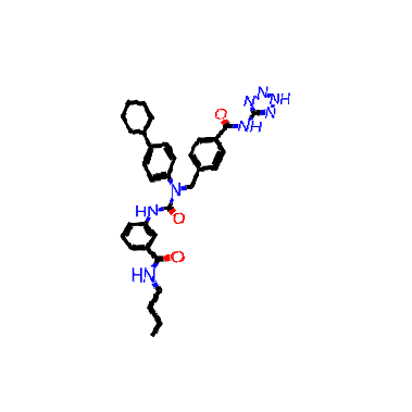 CCCCNC(=O)c1cccc(NC(=O)N(Cc2ccc(C(=O)Nc3nn[nH]n3)cc2)c2ccc(C3CCCCC3)cc2)c1